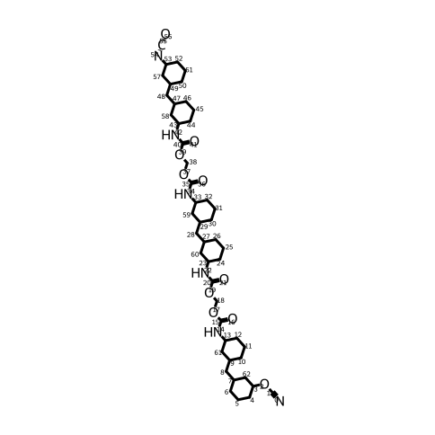 N#COC1CCCC(CC2CCCC(NC(=O)OCOC(=O)NC3CCCC(CC4CCCC(NC(=O)OCOC(=O)NC5CCCC(CC6CCCC(N=C=O)C6)C5)C4)C3)C2)C1